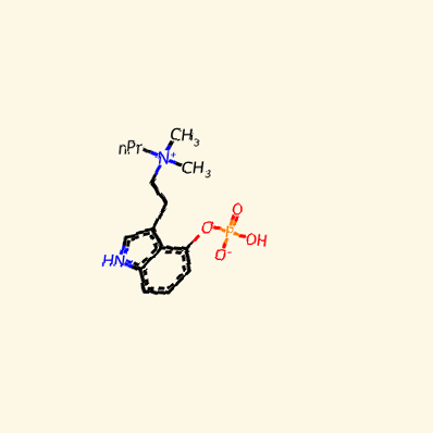 CCC[N+](C)(C)CCc1c[nH]c2cccc(OP(=O)([O-])O)c12